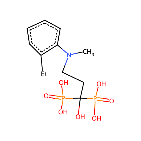 CCc1ccccc1N(C)CCC(O)(P(=O)(O)O)P(=O)(O)O